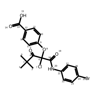 CC(C)(C)C(=O)C(Cl)(Oc1ccc(C(=O)O)cc1)C(=O)Nc1ccc(Br)cc1